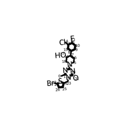 Cc1nc(N2CC=C(c3ccc(F)c(Cl)c3)C(O)C2)nc(=O)n1Cc1ccc(Br)s1